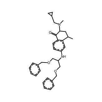 CC1CC(N(C)CC2CC2)C(=O)c2ccc(NC(COCc3ccccc3)COCc3ccccc3)cc21